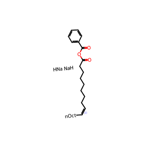 CCCCCCCC/C=C\CCCCCCCC(=O)OC(=O)c1ccccc1.[NaH].[NaH]